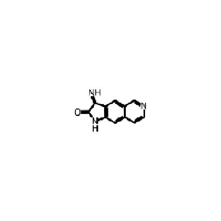 N=C1C(=O)Nc2cc3ccncc3cc21